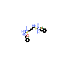 N=C(CCCCC(=N)SC(=N)NC(=O)Cc1ccccc1Cl)SC(=N)NC(=O)Cc1ccccc1Cl